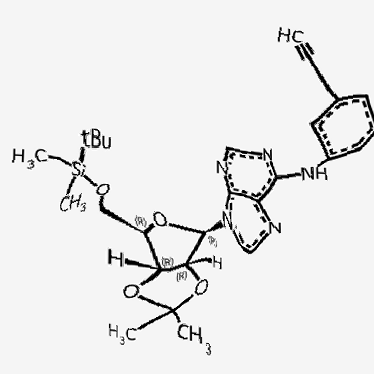 C#Cc1cccc(Nc2ncnc3c2ncn3[C@@H]2O[C@H](CO[Si](C)(C)C(C)(C)C)[C@H]3OC(C)(C)O[C@H]32)c1